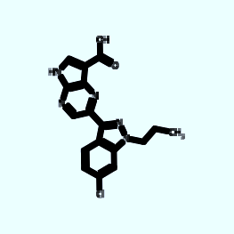 CCCn1nc(-c2cnc3[nH]cc(C(=O)O)c3n2)c2ccc(Cl)cc21